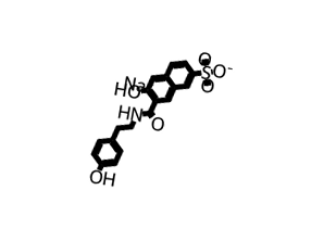 O=C(NCCc1ccc(O)cc1)c1cc2cc(S(=O)(=O)[O-])ccc2cc1O.[Na+]